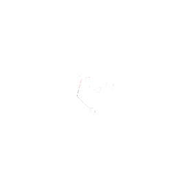 CCCO.Cl.Cl